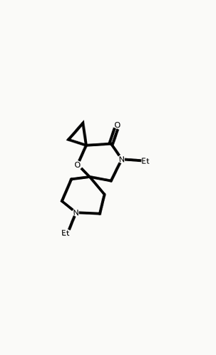 CCN1CCC2(CC1)CN(CC)C(=O)C1(CC1)O2